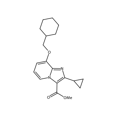 COC(=O)c1c(C2CC2)nc2c(OCC3CCCCC3)cccn12